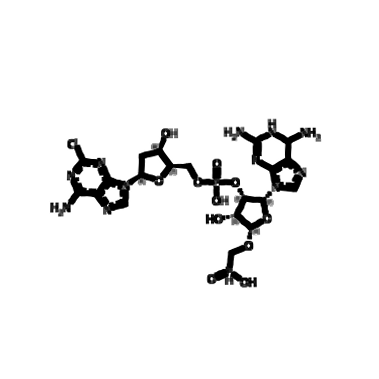 NC1=Nc2c(ncn2[C@@H]2O[C@H](OC[PH](=O)O)[C@H](O)[C@@H]2OP(=O)(O)OC[C@H]2O[C@@H](n3cnc4c(N)nc(Cl)nc43)C[C@H]2O)C(N)N1